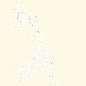 c1ccc(-c2ccc(-c3cccc(C(CCc4ccc(-c5cccc(-n6c7ccccc7c7ccccc76)c5)cc4)c4ccc(-c5ccccc5)cc4)c3)cc2)cc1